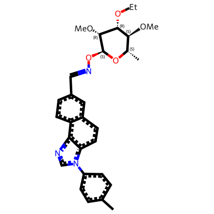 CCO[C@@H]1[C@@H](OC)[C@H](C)O[C@@H](ON=Cc2ccc3c(ccc4c3ncn4-c3ccc(C)cc3)c2)[C@@H]1OC